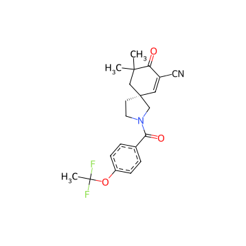 CC(F)(F)Oc1ccc(C(=O)N2CC[C@]3(C=C(C#N)C(=O)C(C)(C)C3)C2)cc1